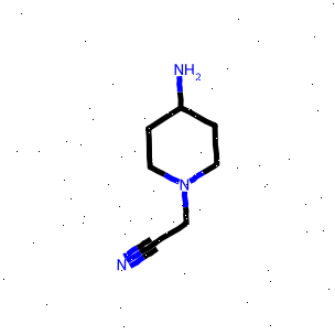 N#CCN1CCC(N)CC1